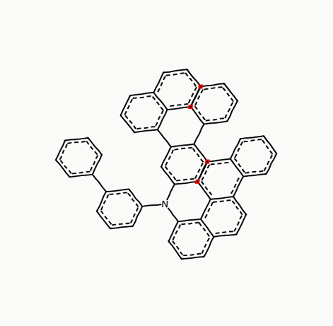 c1ccc(-c2cccc(N(c3ccc(-c4ccccc4)c(-c4cccc5ccccc45)c3)c3cccc4ccc5c6ccccc6ccc5c34)c2)cc1